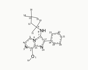 COc1nccn2c(NC(C)(C)CC(C)(C)C)c(-c3ccccc3)nc12